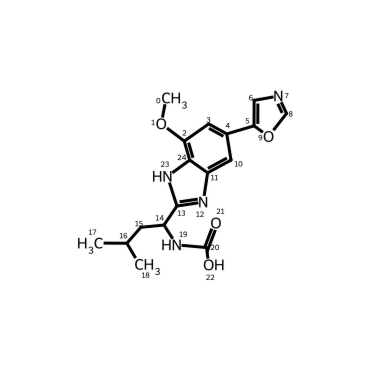 COc1cc(-c2cnco2)cc2nc(C(CC(C)C)NC(=O)O)[nH]c12